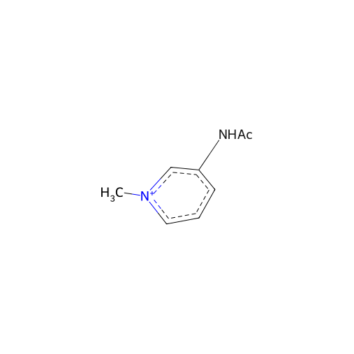 CC(=O)Nc1ccc[n+](C)c1